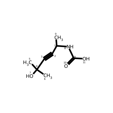 CC(C#CC(C)(C)O)NC(=O)O